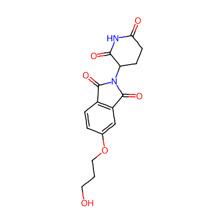 O=C1CCC(N2C(=O)c3ccc(OCCCO)cc3C2=O)C(=O)N1